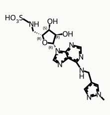 Cn1cc(CNc2ncnc3c2ncn3[C@@H]2O[C@H](CNS(=O)(=O)O)[C@@H](O)[C@H]2O)cn1